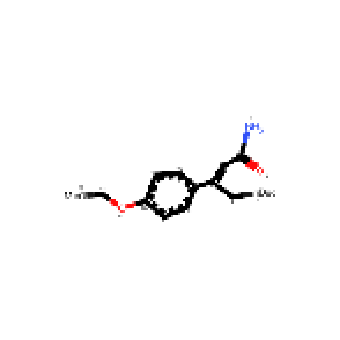 CCCCCCCCCCCC(=CC(N)=O)c1ccc(OCOC)cc1